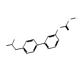 CCCNC(=O)Nc1cccc(-c2ccc(CC(N)C(=O)O)cc2)c1